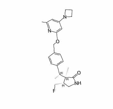 Cc1cc(N2CCC2)cc(OCc2ccc([C@@H](C)[C@@]3(C)C(=O)NC[C@@H]3CF)cc2)n1